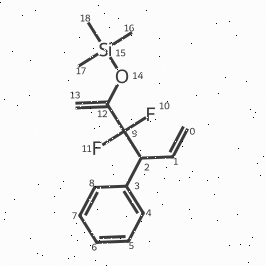 C=CC(c1ccccc1)C(F)(F)C(=C)O[Si](C)(C)C